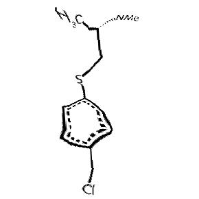 CN[C@@H](C)CSc1ccc(Cl)cc1